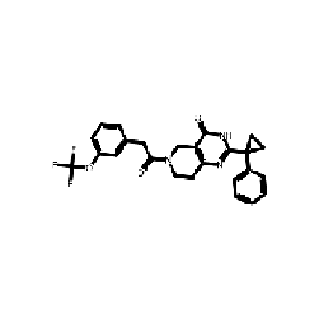 O=C(Cc1cccc(OC(F)(F)F)c1)N1CCc2nc(C3(c4ccccc4)CC3)[nH]c(=O)c2C1